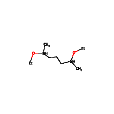 CCO[SiH](C)CCC[SiH](C)OCC